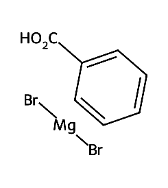 O=C(O)c1ccccc1.[Br][Mg][Br]